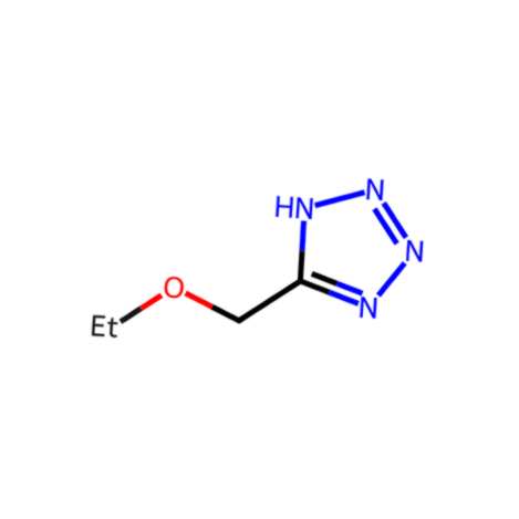 CCOCc1nnn[nH]1